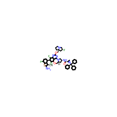 N#Cc1c(N)sc2c(F)ccc(-c3c(Cl)c4c5c(nc(OC[C@@]67CCCN6C[C@H](F)C7)nc5c3F)N3C[C@H](NC(=O)[C@H]5CN5C(c5ccccc5)(c5ccccc5)c5ccccc5)C[C@H]3CO4)c12